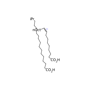 CC(C)CCCCCCCCCCCCCCC(=O)O.CCCCCCCC/C=C\CCCCCCCC(=O)O